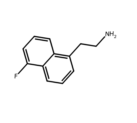 NCCc1cccc2c(F)cccc12